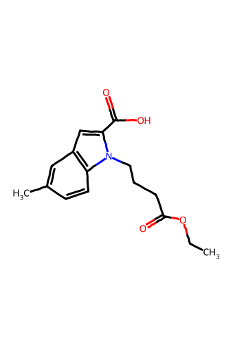 CCOC(=O)CCCn1c(C(=O)O)cc2cc(C)ccc21